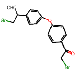 O=CC(CBr)c1ccc(Oc2ccc(C(=O)CBr)cc2)cc1